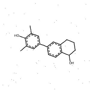 Cc1cc(-c2ccc3c(c2)CCCC3O)cc(C)c1O